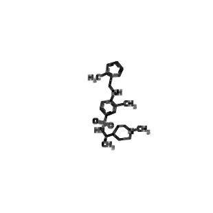 Cc1ccccc1CNc1ccc(S(=O)(=O)N[C@H](C)C2CCN(C)CC2)cc1C